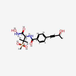 CC(O)C#Cc1ccc(C(=O)N[C@H](C(=O)NO)C(C)(C)S(C)(=O)=O)cc1